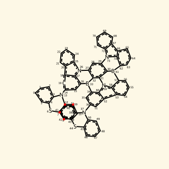 c1ccc2c(c1)Sc1ccccc1N2c1cc2c3c(c1)c1ccccc1n3-c1cc3c4c5c1B2c1cc(N2c6ccccc6Sc6ccccc62)cc2c6cccc(c6n-5c12)B4c1cccc2c4ccccc4n-3c12